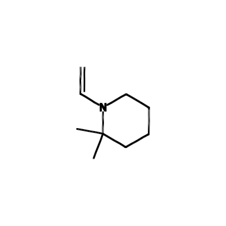 C=CN1CCCCC1(C)C